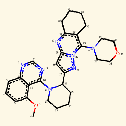 COc1cccc2ncnc(N3CCCCC3c3cc4nc5c(c(N6CCOCC6)n4n3)CCCC5)c12